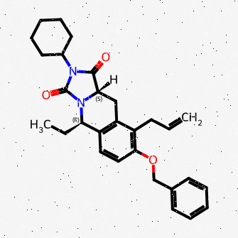 C=CCc1c(OCc2ccccc2)ccc2c1C[C@H]1C(=O)N(C3CCCCC3)C(=O)N1[C@@H]2CC